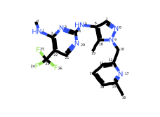 CNc1nc(Nc2cnn(Cc3cccc(C)n3)c2C)ncc1C(F)(F)F